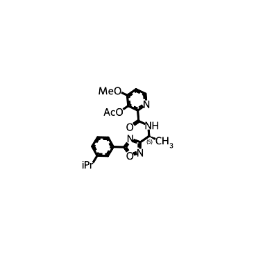 COc1ccnc(C(=O)N[C@@H](C)c2noc(-c3cccc(C(C)C)c3)n2)c1OC(C)=O